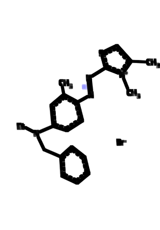 CCN(Cc1ccccc1)c1ccc(/N=N/c2scc(C)[n+]2C)c(C)c1.[Br-]